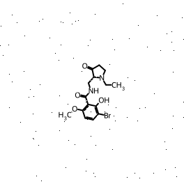 CCN1CCC(=O)C1CNC(=O)c1c(OC)ccc(Br)c1O